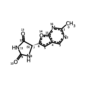 Cc1ncc2cc([C@@H]3NC(=O)NC3=O)oc2n1